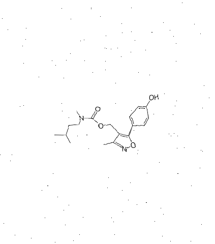 Cc1noc(-c2ccc(O)cc2)c1COC(=O)N(C)CCC(C)C